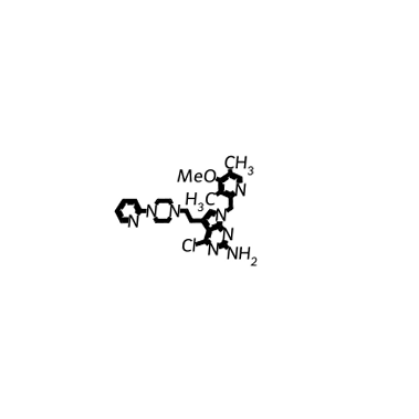 COc1c(C)cnc(Cn2cc(CCN3CCN(c4ccccn4)CC3)c3c(Cl)nc(N)nc32)c1C